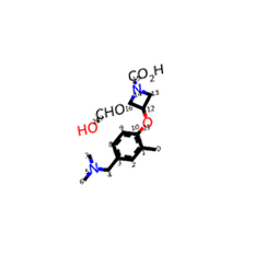 Cc1cc(CN(C)C)ccc1OC1CN(C(=O)O)C1.O=CO